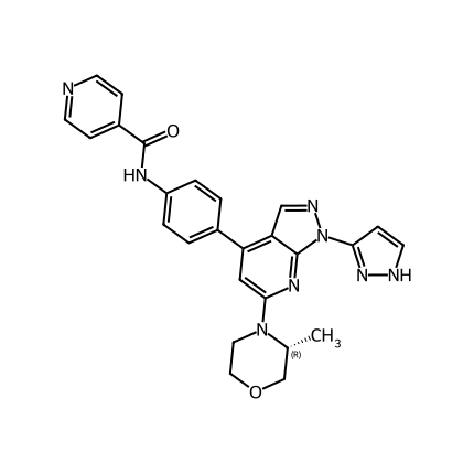 C[C@@H]1COCCN1c1cc(-c2ccc(NC(=O)c3ccncc3)cc2)c2cnn(-c3cc[nH]n3)c2n1